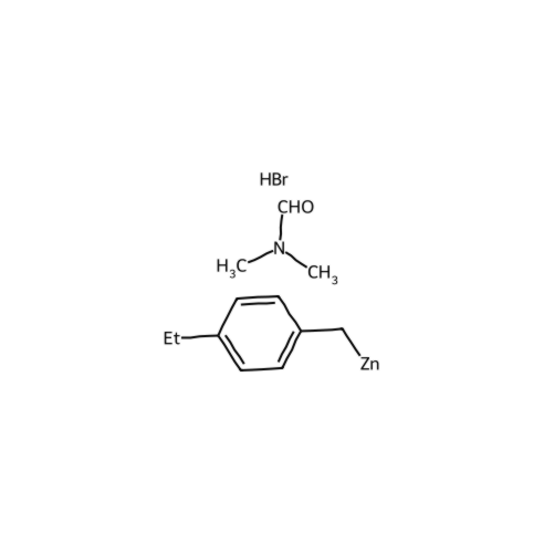 Br.CCc1ccc([CH2][Zn])cc1.CN(C)C=O